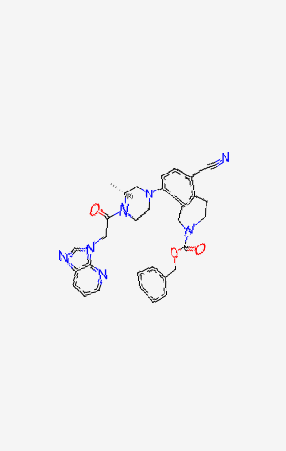 C[C@@H]1CN(c2ccc(C#N)c3c2CN(C(=O)OCc2ccccc2)CC3)CCN1C(=O)Cn1cnc2cccnc21